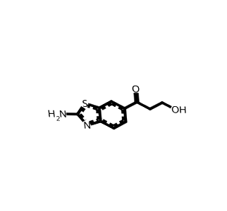 Nc1nc2ccc(C(=O)CCO)cc2s1